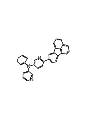 C1=CC(N(c2cccnc2)c2ccc(-c3ccc4c(c3)-c3cccc5cccc-4c35)nc2)=CCC1